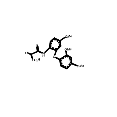 CCC(C(=O)O)C(=O)Nc1ccc(OC)cc1Oc1ccc(OC)cc1OC